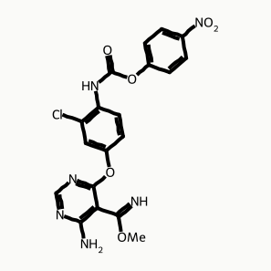 COC(=N)c1c(N)ncnc1Oc1ccc(NC(=O)Oc2ccc([N+](=O)[O-])cc2)c(Cl)c1